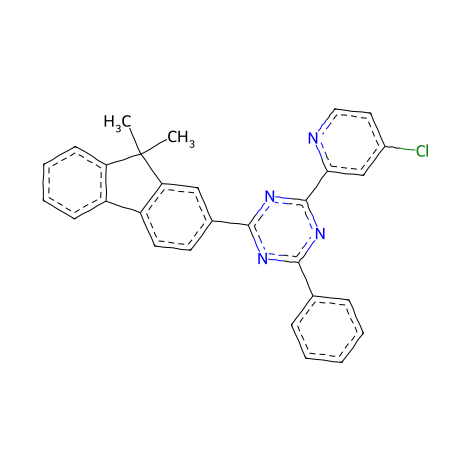 CC1(C)c2ccccc2-c2ccc(-c3nc(-c4ccccc4)nc(-c4cc(Cl)ccn4)n3)cc21